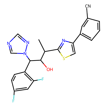 CC(c1nc(-c2cccc(C#N)c2)cs1)C(O)C(c1ccc(F)cc1F)n1cncn1